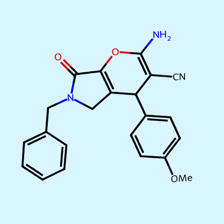 COc1ccc(C2C(C#N)=C(N)OC3=C2CN(Cc2ccccc2)C3=O)cc1